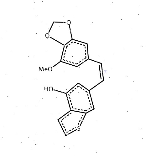 COc1cc(/C=C\c2cc(O)c3ccsc3c2)cc2c1OCO2